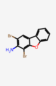 Nc1c(Br)cc2c(oc3ccccc32)c1Br